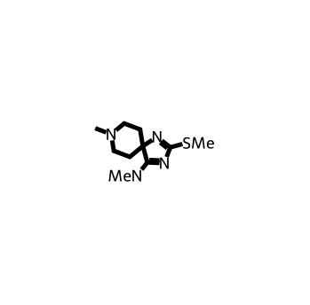 CNC1=NC(SC)=NC12CCN(C)CC2